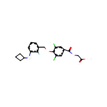 O=C(O)CNC(=O)c1cc(Cl)c(OCc2cccc(NC3CCC3)c2F)c(Cl)c1